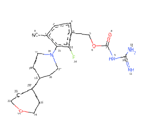 N#Cc1ccc(COC(=O)NC(=N)N)c(F)c1N1CCC(C2CCOCC2)CC1